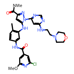 CNC(=O)c1cc(Nc2cc(NC(=O)c3cc(Cl)nc(OC)c3)ccc2C)n(-c2cc(NCCN3CCOCC3)ncn2)n1